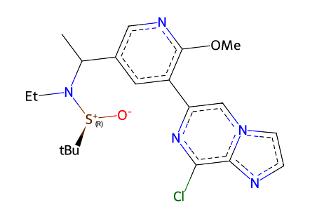 CCN(C(C)c1cnc(OC)c(-c2cn3ccnc3c(Cl)n2)c1)[S@@+]([O-])C(C)(C)C